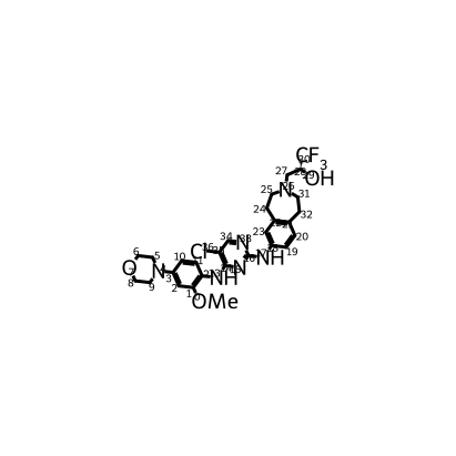 COc1cc(N2CCOCC2)ccc1Nc1nc(Nc2ccc3c(c2)CCN(C[C@@H](O)C(F)(F)F)CC3)ncc1Cl